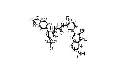 CNc1ncc2cc(-c3ccc(F)c(NC(=O)Nc4cn(C(C)(C)C)nc4-c4ccc5ocnc5c4)c3)c(=O)n(C)c2n1